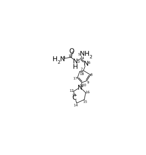 NC(=O)N/C(N)=N\c1ccc(N2CCCCC2)cc1